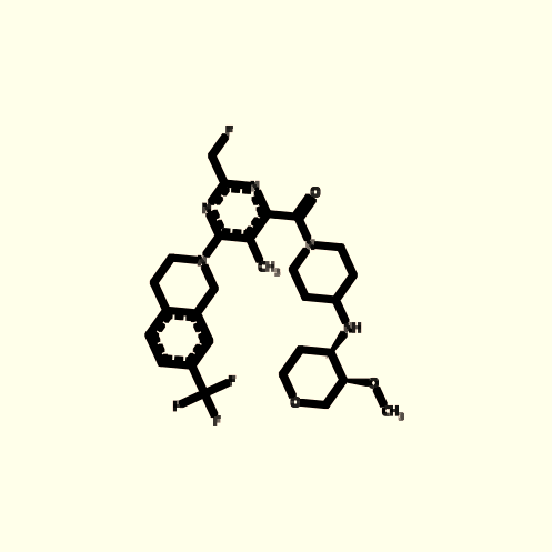 CO[C@H]1COCC[C@H]1NC1CCN(C(=O)c2nc(CF)nc(N3CCc4ccc(C(F)(F)F)cc4C3)c2C)CC1